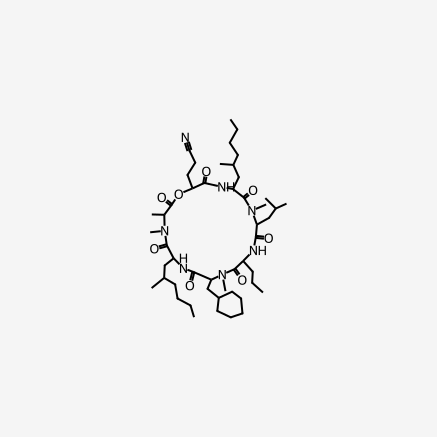 CCCCC(C)CC1NC(=O)C(CC2CCCCC2)N(C)C(=O)C(CCC)NC(=O)C(CC(C)C)N(C)C(=O)C(CC(C)CCCC)NC(=O)C(CCC#N)OC(=O)C(C)N(C)C1=O